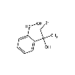 CC(O)(CBr)c1ccccc1BO